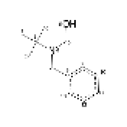 CC(C)(C)N(CO)Cc1ccccc1